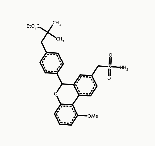 CCOC(=O)C(C)(C)Cc1ccc(C2Oc3cccc(OC)c3-c3ccc(CS(N)(=O)=O)cc32)cc1